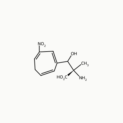 C[C@@](N)(C(=O)O)C(O)C1=CC([N+](=O)[O-])=CCC=C1